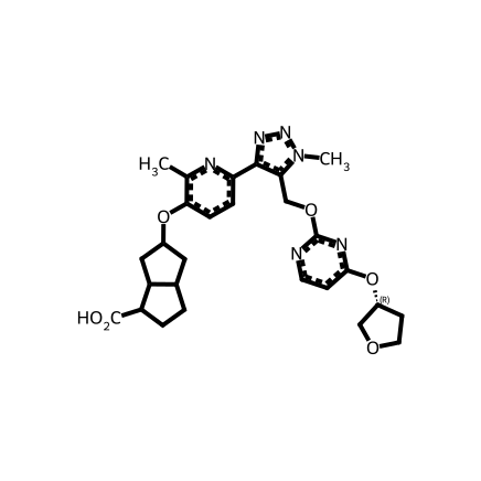 Cc1nc(-c2nnn(C)c2COc2nccc(O[C@@H]3CCOC3)n2)ccc1OC1CC2CCC(C(=O)O)C2C1